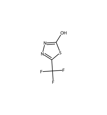 Oc1nnc(C(F)(F)F)s1